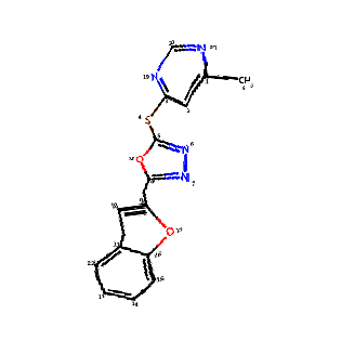 Cc1cc(Sc2nnc(-c3cc4ccccc4o3)o2)ncn1